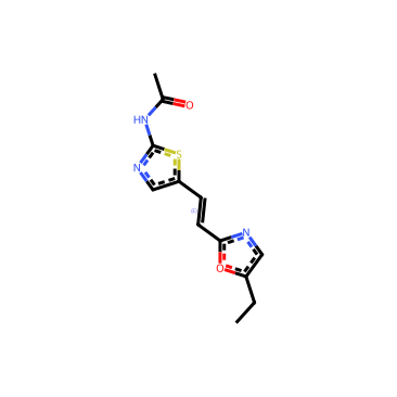 CCc1cnc(/C=C/c2cnc(NC(C)=O)s2)o1